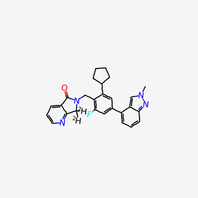 [2H]C1([2H])c2ncccc2C(=O)N1Cc1c(F)cc(-c2cccc3nn(C)cc23)cc1C1CCCC1